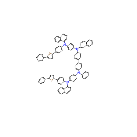 c1ccc(-c2ccc(-c3ccc(N(c4ccc(N(c5ccccc5)c5ccc(-c6ccc(N(c7ccc(N(c8ccc(-c9ccc(-c%10ccccc%10)s9)cc8)c8cccc9ccccc89)cc7)c7ccc8ccccc8c7)cc6)cc5)cc4)c4cccc5ccccc45)cc3)s2)cc1